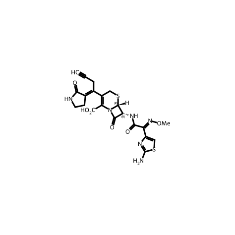 C#CCC(=C1CCNC1=O)C1=C(C(=O)O)N2C(=O)[C@@H](NC(=O)C(=NOC)c3csc(N)n3)[C@H]2SC1